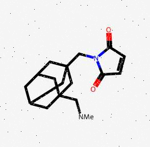 CNCC12CC3CC(C1)CC(CN1C(=O)C=CC1=O)(C3)C2